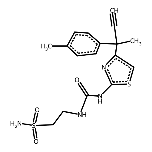 C#CC(C)(c1ccc(C)cc1)c1csc(NC(=O)NCCS(N)(=O)=O)n1